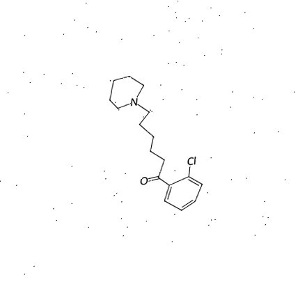 O=C(CCCCCN1CC[CH]CC1)c1ccccc1Cl